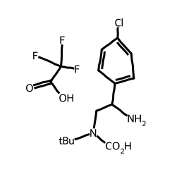 CC(C)(C)N(CC(N)c1ccc(Cl)cc1)C(=O)O.O=C(O)C(F)(F)F